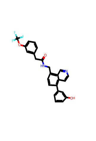 O=C(Cc1cccc(OC(F)(F)F)c1)NCc1ccc(-c2cccc(O)c2)c2ccncc12